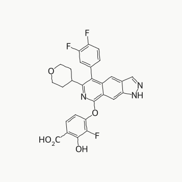 O=C(O)c1ccc(Oc2nc(C3CCOCC3)c(-c3ccc(F)c(F)c3)c3cc4cn[nH]c4cc23)c(F)c1O